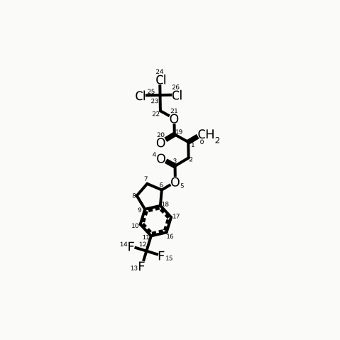 C=C(CC(=O)OC1CCc2cc(C(F)(F)F)ccc21)C(=O)OCC(Cl)(Cl)Cl